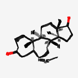 CC(=O)O.C[C@]12C=CC(=O)CC1CC[C@@H]1[C@@H]2CC[C@]2(C)C(=O)CC[C@@H]12